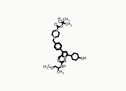 COCC(C)Nc1ncc2c(-c3ccc(CN4CCN(C(=O)OC(C)(C)C)CC4)cc3)cc(C3CCC(O)CC3)n2n1